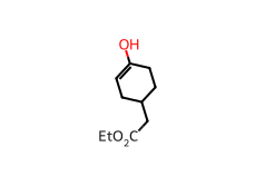 CCOC(=O)CC1CC=C(O)CC1